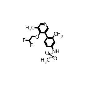 Cc1cc(NS(C)(=O)=O)ccc1-c1cncc(C)c1OCC(F)F